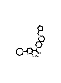 CNc1nc(N2CCCCCC2)ccc1C(=N)N1CCC2(CCCN(CC3CCCC3)C2)CC1